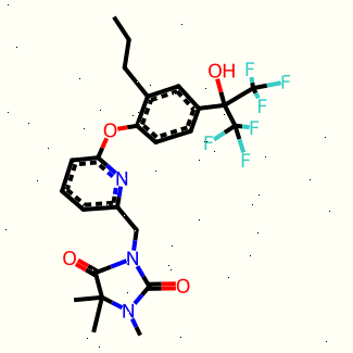 CCCc1cc(C(O)(C(F)(F)F)C(F)(F)F)ccc1Oc1cccc(CN2C(=O)N(C)C(C)(C)C2=O)n1